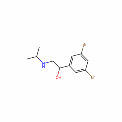 CC(C)NCC(O)c1cc(Br)cc(Br)c1